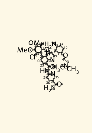 CN(C)CCOc1ccc(N)cc1.COc1cc(OC)c(Cl)c(-c2ccc(C(=O)Nc3ccc(C(N)=O)cn3)c3nccnc23)c1Cl